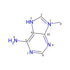 C[n+]1c[nH]c2c(N)ncnc21